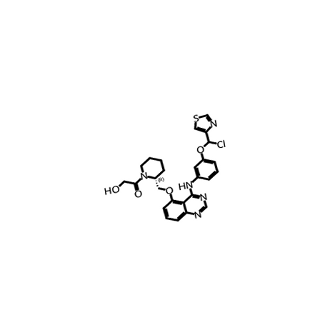 O=C(CO)N1CCCC[C@@H]1COc1cccc2ncnc(Nc3cccc(OC(Cl)c4cscn4)c3)c12